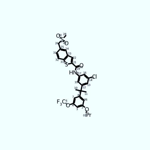 CC(C)Oc1cc(OC(F)(F)F)cc(C(C)(C)c2cc(Cl)cc(NC(=O)c3cc4cc(CS(C)(=O)=O)ccc4s3)c2)c1